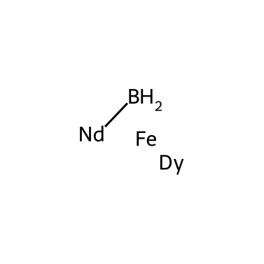 [BH2][Nd].[Dy].[Fe]